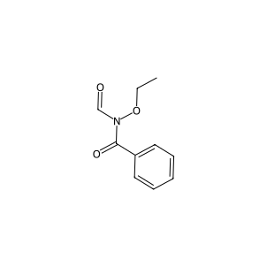 CCON(C=O)C(=O)c1ccccc1